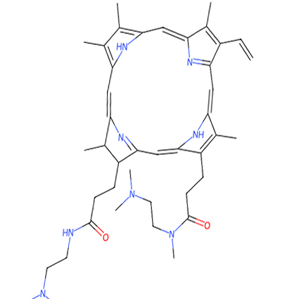 C=CC1=C(C)c2cc3[nH]c(cc4nc(cc5[nH]c(cc1n2)c(C)c5CCC(=O)N(C)CCN(C)C)C(CCC(=O)NCCN(C)C)C4C)c(C)c3C